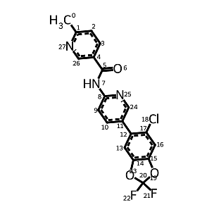 Cc1ccc(C(=O)Nc2ccc(-c3cc4c(cc3Cl)OC(F)(F)O4)cn2)cn1